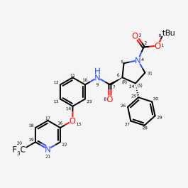 CC(C)(C)OC(=O)N1C[C@H](C(=O)Nc2cccc(Oc3ccc(C(F)(F)F)nc3)c2)[C@@H](c2ccccc2)C1